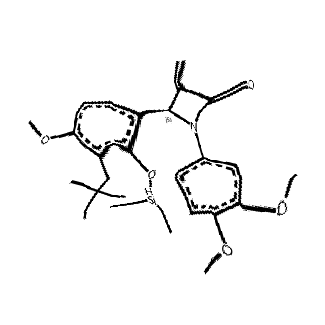 C=C1C(=O)N(c2ccc(OC)c(OC)c2)[C@H]1c1ccc(OC)c(C(C)(C)C)c1O[SiH](C)C